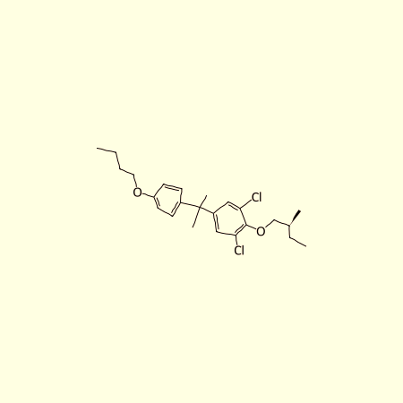 CCCCOc1ccc(C(C)(C)c2cc(Cl)c(OC[C@@H](C)CC)c(Cl)c2)cc1